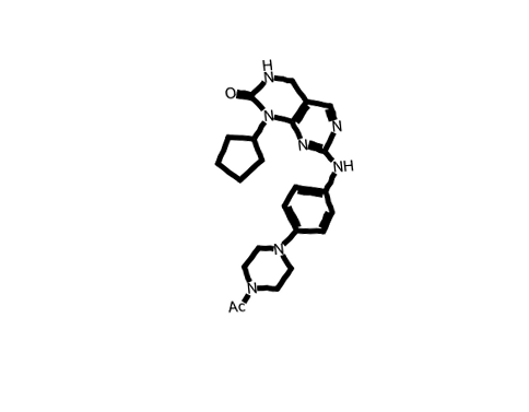 CC(=O)N1CCN(c2ccc(Nc3ncc4c(n3)N(C3CCCC3)C(=O)NC4)cc2)CC1